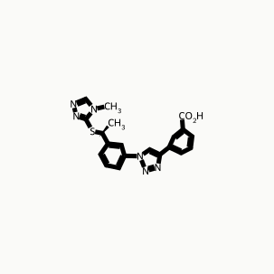 C[C@H](Sc1nncn1C)c1cccc(-n2cc(-c3cccc(C(=O)O)c3)nn2)c1